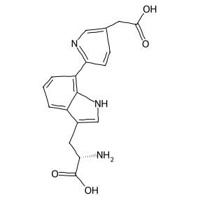 N[C@@H](Cc1c[nH]c2c(-c3ccc(CC(=O)O)cn3)cccc12)C(=O)O